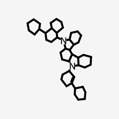 C1=C(C2CCCCC2)CCCC1N1C2CCCCC2C2C3C4CCCCC4N(C4CCC(C5CCCCC5)C5CCCCC54)C3CCC21